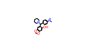 CN(C)c1ccc([C@H](c2cc3c(cc2O)OCO3)N2CCCCC2)cc1